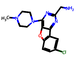 CN1CCN(c2nc(CN)nc3c2oc2ccc(Cl)cc23)CC1